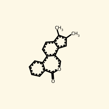 Cc1cc2c(ccc3c4ccccc4c(=O)occ23)c1C